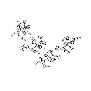 COC(OC)C(OC)(OC)C(=O)[O-].COC(OC)C(OC)(OC)C(=O)[O-].COC(OC)C(OC)(OC)C(=O)[O-].COC(OC)C(OC)(OC)C(=O)[O-].[Ti+4]